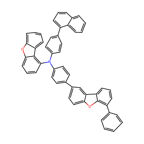 c1ccc(-c2cccc3c2oc2ccc(-c4ccc(N(c5ccc(-c6cccc7ccccc67)cc5)c5cccc6oc7ccccc7c56)cc4)cc23)cc1